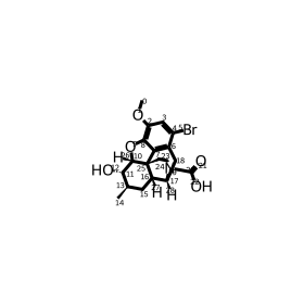 COc1cc(Br)c2c3c1O[C@H]1[C@@H](O)[C@H](C)C[C@H]4[C@@H](C2)N(C(=O)O)CC[C@@]341